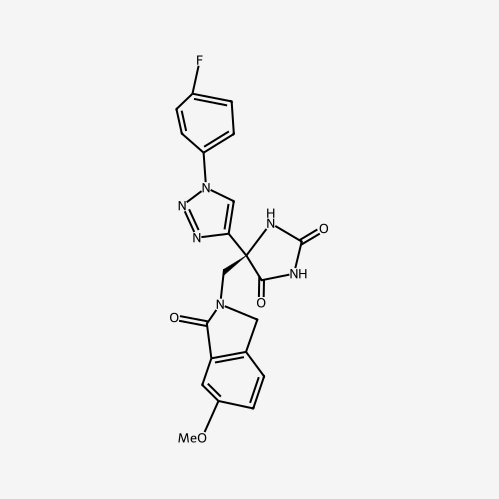 COc1ccc2c(c1)C(=O)N(C[C@@]1(c3cn(-c4ccc(F)cc4)nn3)NC(=O)NC1=O)C2